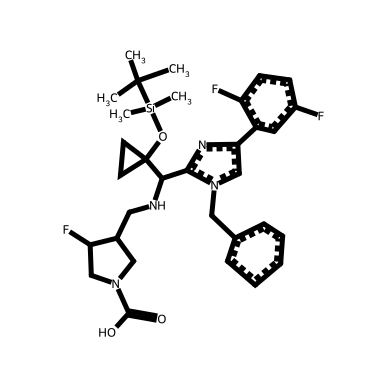 CC(C)(C)[Si](C)(C)OC1(C(NCC2CN(C(=O)O)CC2F)c2nc(-c3cc(F)ccc3F)cn2Cc2ccccc2)CC1